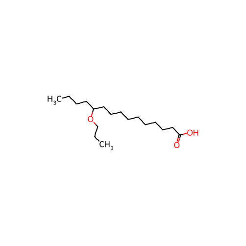 CCCCC(CCCCCCCCCC(=O)O)OCCC